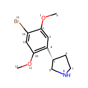 COc1cc([C@@H]2CCNC2)c(OC)cc1Br